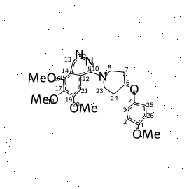 COc1ccc(OC2CCN(c3nncc4c(OC)c(OC)c(OC)cc34)CC2)cc1